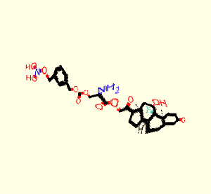 C[C@]12C[C@H](O)C3(F)[C@@H](CCC4=CC(=O)C=C[C@@]43C)C1CCC2C(=O)COC(=O)C(N)COC(=O)OCc1cccc(CON(O)O)c1